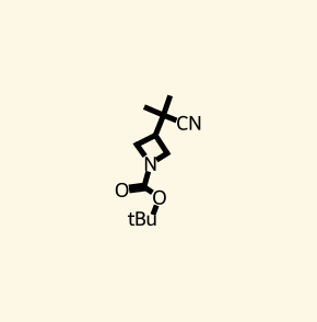 CC(C)(C)OC(=O)N1CC(C(C)(C)C#N)C1